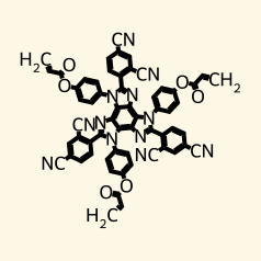 C=CC(=O)Oc1ccc(-n2c(-c3ccc(C#N)cc3C#N)nc3c2c2nc(-c4ccc(C#N)cc4C#N)n(-c4ccc(OC(=O)C=C)cc4)c2c2nc(-c4ccc(C#N)cc4C#N)n(-c4ccc(OC(=O)C=C)cc4)c32)cc1